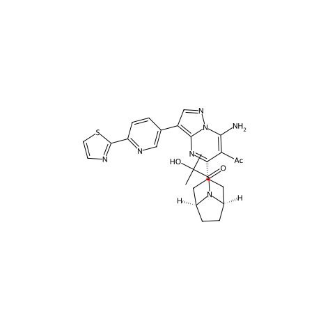 CC(=O)c1c([C@@H]2C[C@H]3CC[C@@H](C2)N3C(=O)C(C)(C)O)nc2c(-c3ccc(-c4nccs4)nc3)cnn2c1N